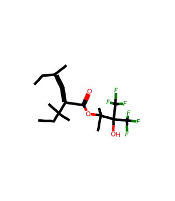 CCC(C)=C=C(C(=O)OC(C)(C)C(O)(C(F)(F)F)C(F)(F)F)C(C)(C)CC